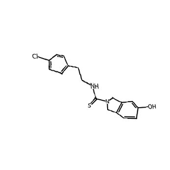 Oc1ccc2c(c1)CN(C(=S)NCCc1ccc(Cl)cc1)C2